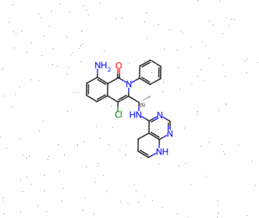 C[C@H](Nc1ncnc2c1CC=CN2)c1c(Cl)c2cccc(N)c2c(=O)n1-c1ccccc1